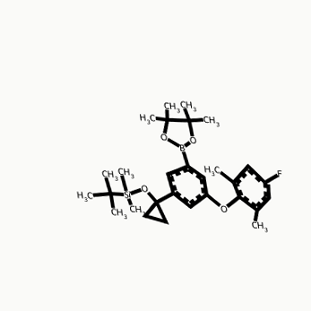 Cc1cc(F)cc(C)c1Oc1cc(B2OC(C)(C)C(C)(C)O2)cc(C2(O[Si](C)(C)C(C)(C)C)CC2)c1